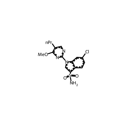 CCCc1cnc(-n2cc(S(N)(=O)=O)c3ccc(Cl)cc32)nc1OC